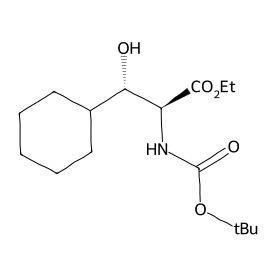 CCOC(=O)[C@@H](NC(=O)OC(C)(C)C)[C@@H](O)C1CCCCC1